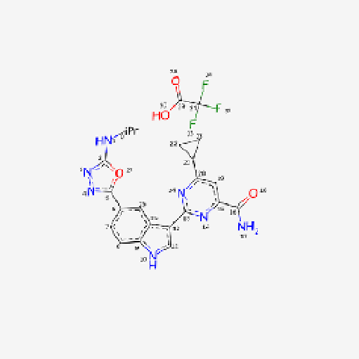 CC(C)Nc1nnc(-c2ccc3[nH]cc(-c4nc(C(N)=O)cc(C5CC5)n4)c3c2)o1.O=C(O)C(F)(F)F